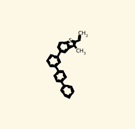 C=Cc1sc2ccc(-c3cccc(-c4ccc(-c5ccccc5)cc4)c3)cc2c1C